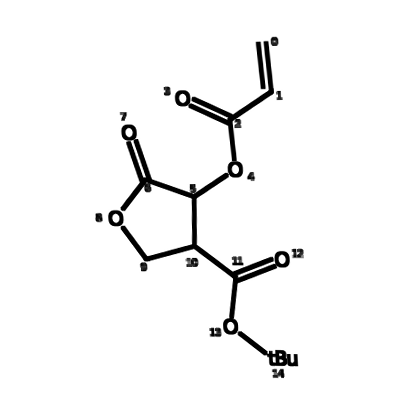 C=CC(=O)OC1C(=O)OCC1C(=O)OC(C)(C)C